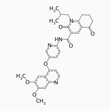 COc1cc2nccc(Oc3ccc(NC(=O)c4cc5c(n(CC(C)C)c4=O)CCCC5=O)nc3)c2cc1OC